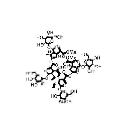 C=C[C@H]1[C@H](O[C@@H]2O[C@H](CO)[C@@H](O)[C@H](O)[C@H]2O)OC=C(C(=O)O[C@H]2C[C@@H]3C(C(=O)OC)=CO[C@@H](O[C@@H]4O[C@H](CO)[C@@H](O)[C@H](O)[C@H]4O)[C@@H]3[C@H]2C)[C@H]1C/C=C(/C=O)[C@@H]1C(C(=O)O[C@@H]2C[C@@H]3C(C(=O)OC)=CO[C@@H](O[C@@H]4O[C@H](CO)[C@@H](O)[C@H](O)[C@H]4O)[C@@H]3[C@@H]2C)=CO[C@@H](O[C@@H]2O[C@H](CO)[C@@H](O)[C@H](O)[C@H]2O)[C@@H]1C=C